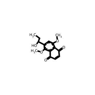 CCC(O)c1cc(OC)c2c(c1OC)C(=O)C=CC2=O